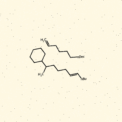 C=CCCCCCCCCCCCCCC.CCCCC=CCCCC(C)C1CCCCC1